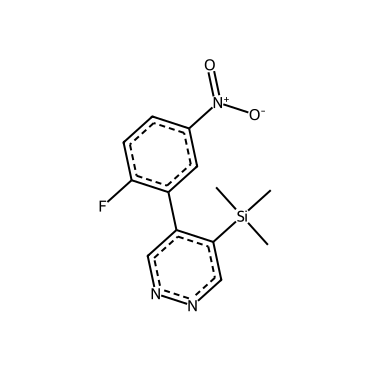 C[Si](C)(C)c1cnncc1-c1cc([N+](=O)[O-])ccc1F